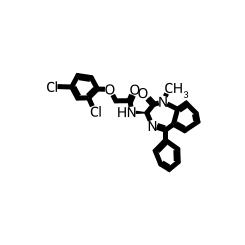 CN1C(=O)[C@H](NC(=O)COc2ccc(Cl)cc2Cl)N=C(c2ccccc2)c2ccccc21